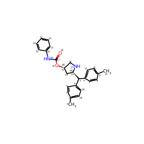 Cc1ccc(C(c2ccc(C)cc2)[C@H]2C[C@@H](OC(=O)Nc3ccccc3)CN2)cc1